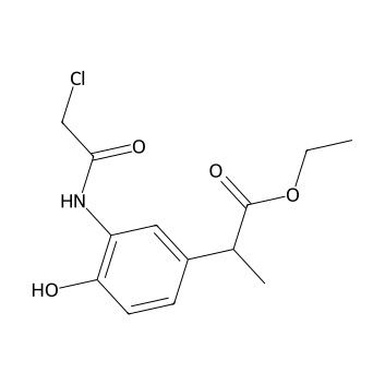 CCOC(=O)C(C)c1ccc(O)c(NC(=O)CCl)c1